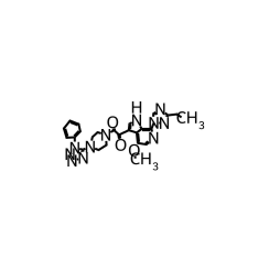 CCc1ncn(-c2ncc(OC)c3c(C(=O)C(=O)N4CCN(c5nnnn5-c5ccccc5)CC4)c[nH]c23)n1